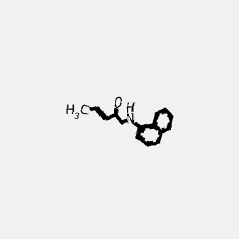 CC=CC(=O)CNc1cccc2ccccc12